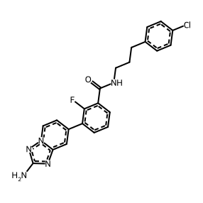 Nc1nc2cc(-c3cccc(C(=O)NCCCc4ccc(Cl)cc4)c3F)ccn2n1